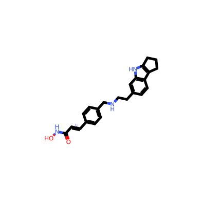 O=C(/C=C/c1ccc(CNCCc2ccc3c4c([nH]c3c2)CCC4)cc1)NO